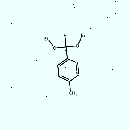 CCOC(CC)(OCC)c1ccc(C)cc1